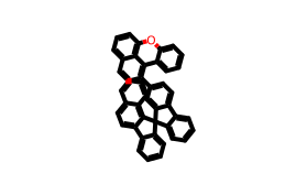 c1ccc2c(c1)Oc1cccc3ccc(-c4ccc5c(c4)C4(c6ccccc6-5)c5ccccc5-c5ccc6ccccc6c54)c-2c13